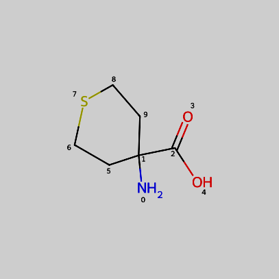 NC1(C(=O)O)CCSCC1